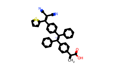 C=C(C(=O)O)c1ccc(/C(=C(\c2ccccc2)c2ccc(C(=C(C#N)C#N)c3cccs3)cc2)c2ccccc2)cc1